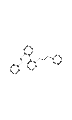 C(=C\c1ccccc1-c1ccccc1CCCc1ccccc1)/c1ccccc1